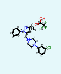 Cc1cc(CN2CCN(c3cccc(Cl)c3)CC2)n(-c2ccccc2)n1.O=C(O)C(F)(F)F